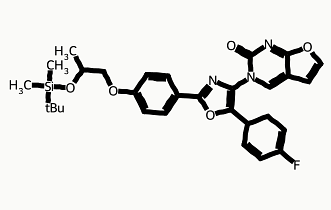 CC(COc1ccc(-c2nc(-n3cc4ccoc4nc3=O)c(C3C=CC(F)=CC3)o2)cc1)O[Si](C)(C)C(C)(C)C